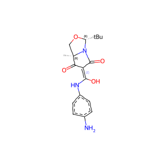 CC(C)(C)[C@H]1OC[C@]2(C)C(=O)/C(=C(/O)Nc3ccc(N)cc3)C(=O)N12